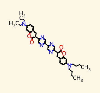 CCCCN(CCCC)c1ccc2cc(-c3cnc(-c4cnc(-c5cc6ccc(N(CC)CC)cc6oc5=O)cn4)cn3)c(=O)oc2c1